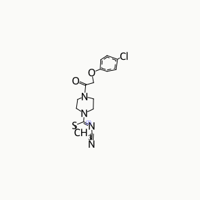 CS/C(=N\C#N)N1CCN(C(=O)COc2ccc(Cl)cc2)CC1